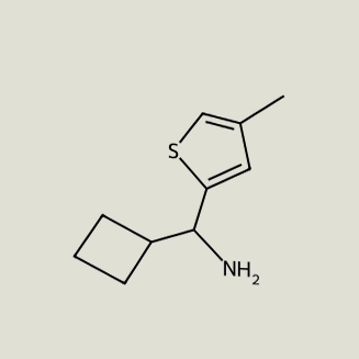 Cc1csc(C(N)C2CCC2)c1